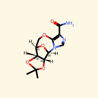 CC1(C)O[C@@H]2[C@H](O1)[C@H]1COc3c(C(N)=O)ncn3[C@@H]2O1